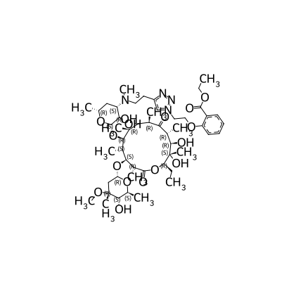 CCOC(=O)c1ccccc1OCCn1cc(CCN(C)[C@H]2C[C@@H](C)O[C@@H](O[C@@H]3[C@@H](C)[C@H](O[C@H]4C[C@@](C)(OC)[C@@H](O)[C@H](C)O4)[C@@H](C)C(=O)O[C@H](CC)[C@@](C)(O)[C@H](O)[C@@H](C)C(=O)[C@H](C)C[C@@]3(C)O)[C@@H]2O)nn1